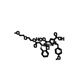 COCCOCCOC(=O)[C@H](O)[C@@H](Cc1ccccc1Cl)NC(=O)c1cc(C(=O)O)n(Cc2ccc(OC)cc2)n1